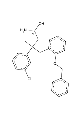 CC(Cc1ccccc1OCc1ccccc1)(C[C@H](N)O)c1cccc(Cl)c1